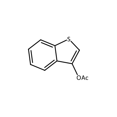 CC(=O)Oc1csc2ccccc12